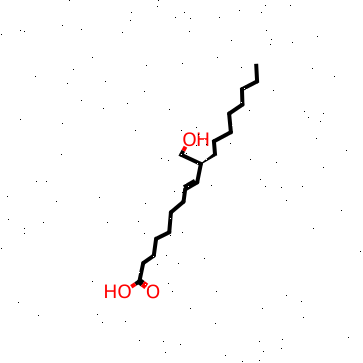 CCCCCCCC[C@@H](/C=C/CCCCCCC(=O)O)CO